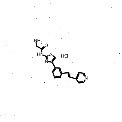 Cl.NCC(=O)Nc1nc(-c2cccc(/C=C/c3ccncc3)c2)cs1